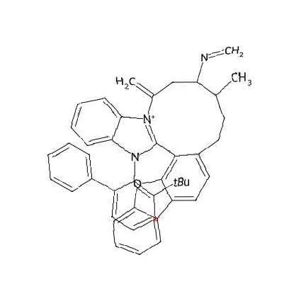 C=NC1CC(=C)[n+]2c(n(-c3c(-c4ccccc4)cccc3C(C)(C)C)c3ccccc32)-c2c(ccc3c2oc2ccccc23)CCC1C